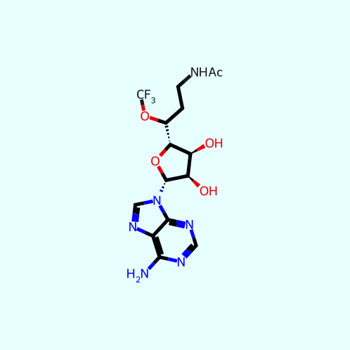 CC(=O)NCCC(OC(F)(F)F)[C@H]1O[C@@H](n2cnc3c(N)ncnc32)[C@H](O)[C@@H]1O